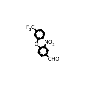 O=Cc1ccc(Oc2cccc(C(F)(F)F)c2)c([N+](=O)[O-])c1